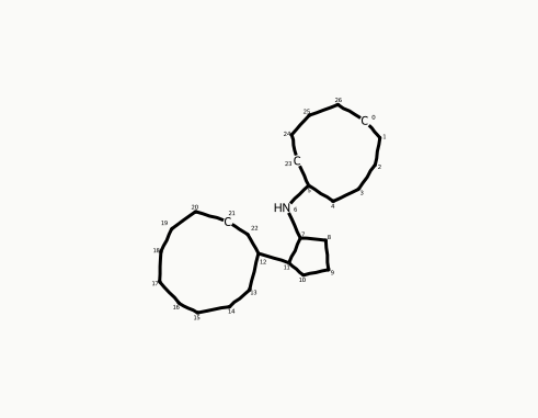 C1CCCCC(NC2CCCC2C2CCCCCCCCCC2)CCCC1